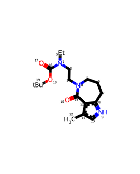 CCN(CCN1CCCc2[nH]cc(C)c2C1=O)C(=O)OC(C)(C)C